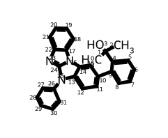 CC(C)(O)c1ccccc1-c1ccc2c(c1)n1c3ccccc3nc1n2-c1ccccc1